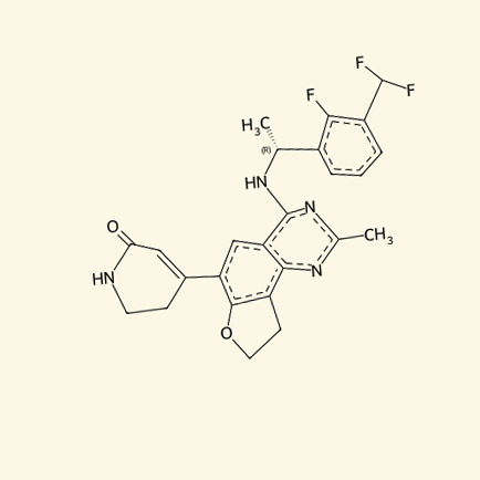 Cc1nc(N[C@H](C)c2cccc(C(F)F)c2F)c2cc(C3=CC(=O)NCC3)c3c(c2n1)CCO3